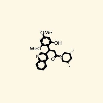 COc1cc(O)c(C(CC(=O)N2C[C@H](C)C[C@H](C)C2)c2cnc3ccccc3c2)c(OC)c1